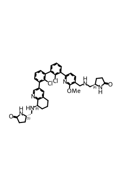 COc1nc(-c2cccc(-c3cccc(-c4cnc5c(c4)CCC[C@H]5NC[C@@H]4CCC(=O)N4)c3Cl)c2Cl)ccc1CNC[C@H]1CCC(=O)N1